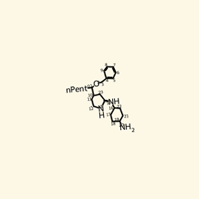 CCCCCC(OCc1ccccc1)C1C[CH]NC(NC2CCC(N)CC2)C1